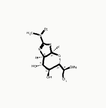 CCN(C)C1=N[C@@H]2[C@@H](O)[C@H](O)[C@@H]([C@@H](OC)C(F)(F)F)O[C@@H]2S1